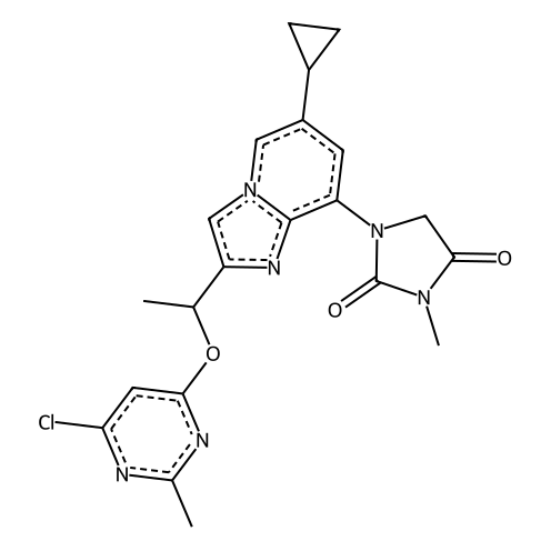 Cc1nc(Cl)cc(OC(C)c2cn3cc(C4CC4)cc(N4CC(=O)N(C)C4=O)c3n2)n1